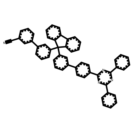 N#Cc1cccc(-c2cccc(C3(c4cccc(-c5ccc(-c6nc(-c7ccccc7)nc(-c7ccccc7)n6)cc5)c4)c4ccccc4-c4ccccc43)c2)c1